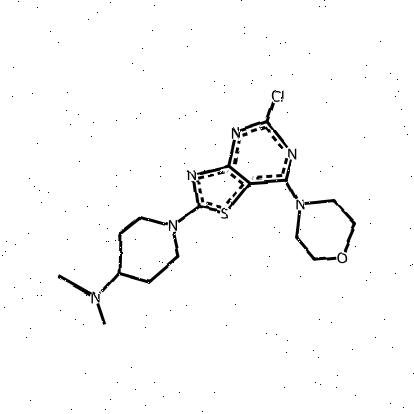 CN(C)C1CCN(c2nc3nc(Cl)nc(N4CCOCC4)c3s2)CC1